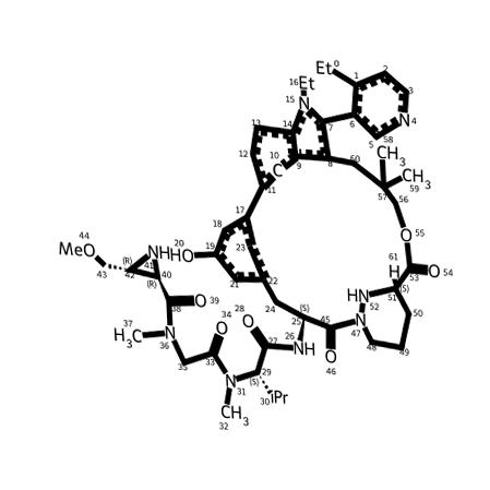 CCc1ccncc1-c1c2c3cc(ccc3n1CC)-c1cc(O)cc(c1)C[C@H](NC(=O)[C@H](C(C)C)N(C)C(=O)CN(C)C(=O)[C@@H]1N[C@H]1COC)C(=O)N1CCC[C@H](N1)C(=O)OCC(C)(C)C2